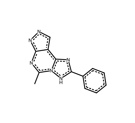 Cc1nc2nncc-2c2nc(-c3ccccc3)[nH]n12